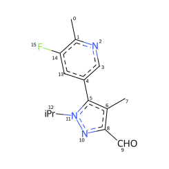 Cc1ncc(-c2c(C)c(C=O)nn2C(C)C)cc1F